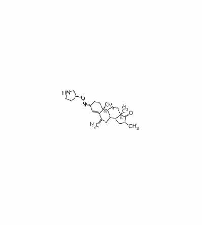 C=C1CC2C(CC[C@]3(C)C(=O)C(C)CC23)[C@@]2(C)CCC(=NOC3CCNC3)C=C12